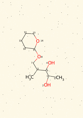 CC(O)C(O)C(C)COC1CCCCO1